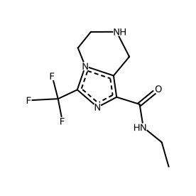 CCNC(=O)c1nc(C(F)(F)F)n2c1CNCC2